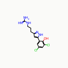 N=C(N)NCCCc1cc(-c2cc(Cl)cc(Cl)c2O)[nH]n1